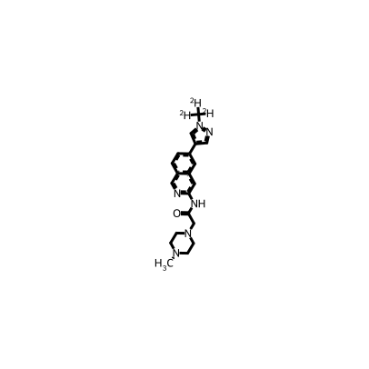 [2H]C([2H])([2H])n1cc(-c2ccc3cnc(NC(=O)CN4CCN(C)CC4)cc3c2)cn1